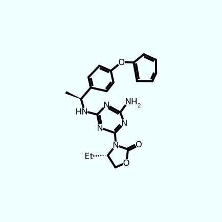 CC[C@H]1COC(=O)N1c1nc(N)nc(N[C@@H](C)c2ccc(Oc3ccccc3)cc2)n1